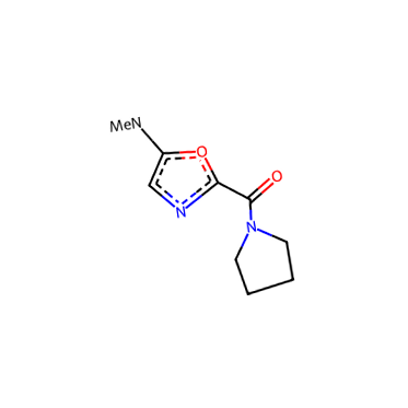 CNc1cnc(C(=O)N2CCCC2)o1